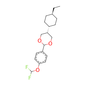 CC[C@H]1CC[C@H](C2COC(c3ccc(OC(F)F)cc3)OC2)CC1